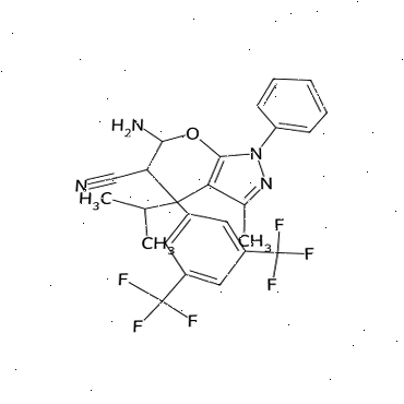 Cc1nn(-c2ccccc2)c2c1C(c1cc(C(F)(F)F)cc(C(F)(F)F)c1)(C(C)C)C(C#N)C(N)O2